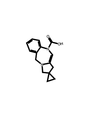 O=C(O)N1C=C2CC3(CC3)CN2Cc2ccccc21